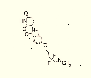 C=NCC(F)(F)CCCOc1ccc2c(c1)CN(C1CCC(=O)NC1=O)C2=O